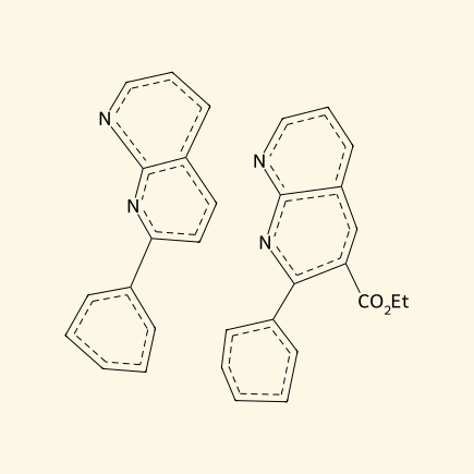 CCOC(=O)c1cc2cccnc2nc1-c1ccccc1.c1ccc(-c2ccc3cccnc3n2)cc1